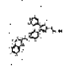 OCCn1cc(-c2ccncc2)c(-c2ccc(OCc3ccc4ccccc4n3)cc2)n1